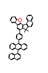 CC1(C)c2ccc3ccccc3c2-c2c1c(-c1ccc(-c3c4ccccc4c(-c4cccc5ccccc45)c4ccccc34)cc1)cc1c2oc2ccccc21